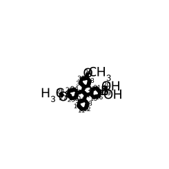 COc1ccc(C(=C(c2ccccc2)c2ccc(B(O)O)cc2)c2ccc(OC)cc2)cc1